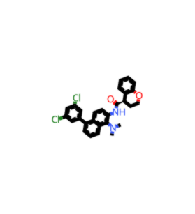 CN(C)c1c(NC(=O)[C@@H]2CCOc3ccccc32)ccc2c(-c3cc(Cl)cc(Cl)c3)cccc12